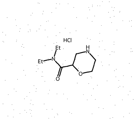 CCN(CC)C(=O)C1CNCCO1.Cl